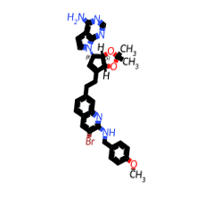 COc1ccc(CNc2nc3cc(CCC4=C[C@@H](n5ccc6c(N)ncnc65)[C@@H]5OC(C)(C)O[C@H]45)ccc3cc2Br)cc1